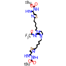 CC(C)(C)OC(=O)NC(=N)c1csc(CCCCCn2ccn(CCCCCc3nc(C(=N)NC(=O)OC(C)(C)C)cs3)c2=NC(=O)C(F)(F)F)n1